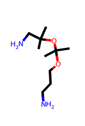 CC(C)(CN)OC(C)(C)OCCCN